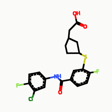 O=C(O)CC1CCC(Sc2cc(C(=O)Nc3ccc(F)c(Cl)c3)ccc2F)C1